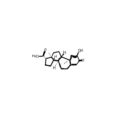 C[C@]12CC[C@H]3[C@@H](CCC4=CC(=O)C(O)=C[C@@]43C)[C@@H]1CC[C@@H]2C(=O)O